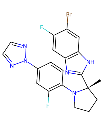 C[C@@]1(c2nc3cc(F)c(Br)cc3[nH]2)CCCN1c1ccc(-n2nccn2)[c]c1F